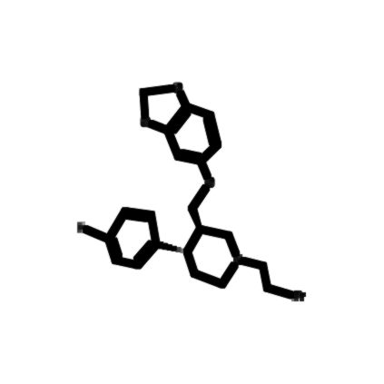 CC(C)CCN1CC[C@H](c2ccc(F)cc2)[C@@H](COc2ccc3c(c2)OCO3)C1